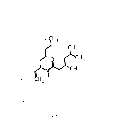 C=C[C@H](CCCCC)NC(=O)C[C@@H](C)CC(C)C